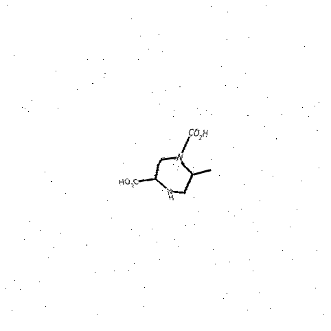 CC1CNC(C(=O)O)CN1C(=O)O